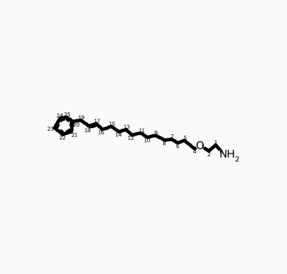 NCCOCCCCCCCCCCCCC/C=C/Cc1ccccc1